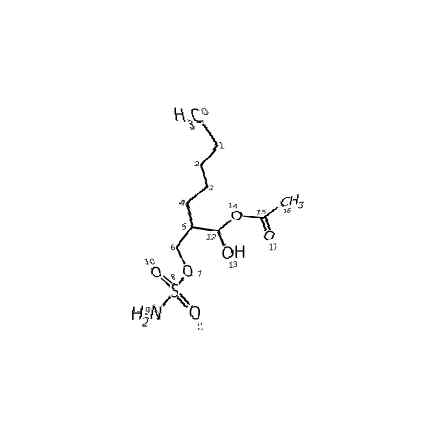 CCCCCC(COS(N)(=O)=O)C(O)OC(C)=O